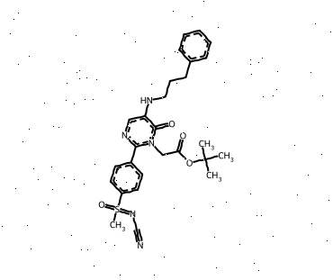 CC(C)(C)OC(=O)Cn1c(-c2ccc(S(C)(=O)=NC#N)cc2)ncc(NCCCc2ccccc2)c1=O